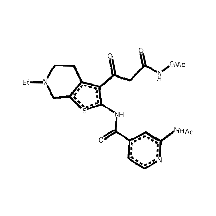 CCN1CCc2c(sc(NC(=O)c3ccnc(NC(C)=O)c3)c2C(=O)CC(=O)NOC)C1